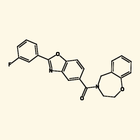 O=C(c1ccc2oc(-c3cccc(F)c3)nc2c1)N1CCOc2ccccc2C1